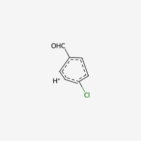 O=Cc1ccc(Cl)cc1.[H+]